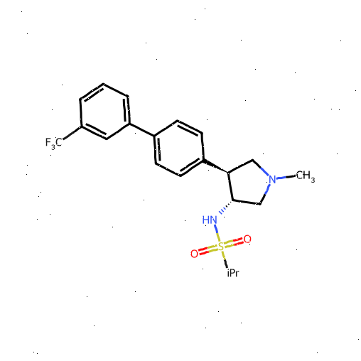 CC(C)S(=O)(=O)N[C@H]1CN(C)C[C@@H]1c1ccc(-c2cccc(C(F)(F)F)c2)cc1